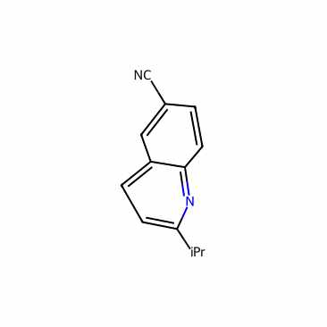 CC(C)c1ccc2cc(C#N)ccc2n1